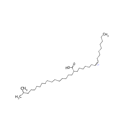 CCCCCCCC/C=C\CCCCCCC(CCCCCCCCCCCCCCCC(C)C)C(=O)O